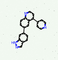 c1cc(-c2ccnc3ccc(-c4ccc5cn[nH]c5c4)cc23)ccn1